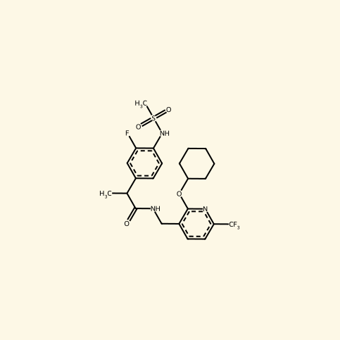 CC(C(=O)NCc1ccc(C(F)(F)F)nc1OC1CCCCC1)c1ccc(NS(C)(=O)=O)c(F)c1